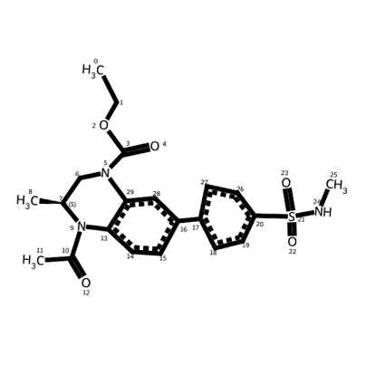 CCOC(=O)N1C[C@H](C)N(C(C)=O)c2ccc(-c3ccc(S(=O)(=O)NC)cc3)cc21